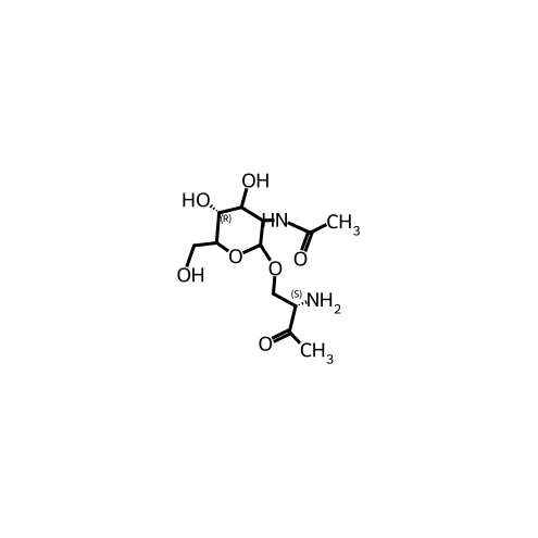 CC(=O)NC1C(OC[C@H](N)C(C)=O)OC(CO)[C@H](O)C1O